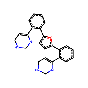 C1=C(c2ccccc2-c2ccc(-c3ccccc3C3=CCNCN3)o2)NCNC1